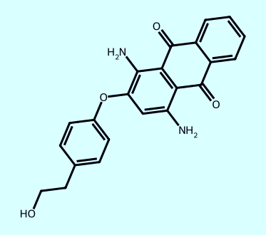 Nc1cc(Oc2ccc(CCO)cc2)c(N)c2c1C(=O)c1ccccc1C2=O